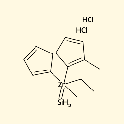 C[CH2][Zr]([CH3])(=[SiH2])([C]1=CC=CC1)[C]1=C(C)C=CC1.Cl.Cl